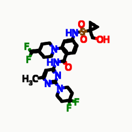 Cc1cc(NC(=O)c2ccc(NS(=O)(=O)C3(CO)CC3)cc2N2CCC(=C(F)F)CC2)nc(N2CCC(F)(F)CC2)n1